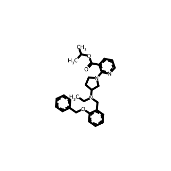 CCN(Cc1ccccc1OCc1ccccc1)C1CCN(c2ncccc2C(=O)OC(C)C)C1